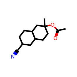 CC(=O)OC1(C)CCC2CC(C#N)CCC2C1